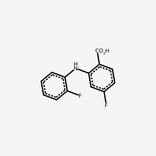 O=C(O)c1ccc(F)cc1Nc1ccccc1F